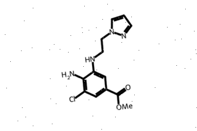 COC(=O)c1cc(Cl)c(N)c(NCCn2cccn2)c1